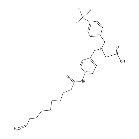 C=CCCCCCCCCC(=O)Nc1ccc(CN(CC(=O)O)Cc2ccc(C(F)(F)F)cc2)cc1